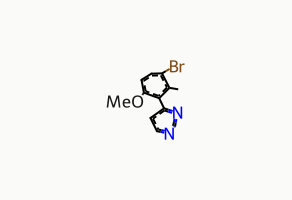 COc1ccc(Br)c(C)c1-c1ccncn1